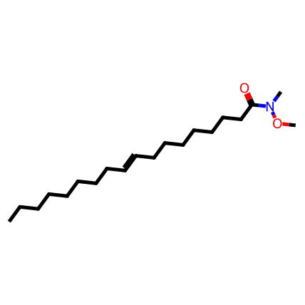 CCCCCCCCC=CCCCCCCCC(=O)N(C)OC